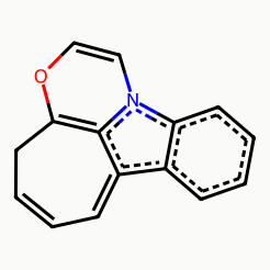 C1=CCC2=c3c(c4ccccc4n3C=CO2)=C1